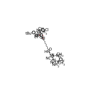 CCOc1cc(C(C)(C)C)ccc1C1=N[C@](C)(c2ccc(Cl)cc2)[C@](C)(c2ccc(Cl)cc2)N1C(=O)N1CCN(CCCCCCCCC(=O)NCCn2nc3c(c2C#N)-c2cnc(N)c(n2)O[C@H](C)c2cc(F)ccc2C(=O)N(C)C3)CC1